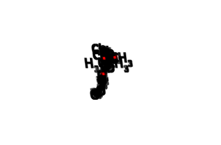 COC(=O)C1=C(C)N(C(=O)OCCCOc2ccc(CCOC3CCOCC3)cc2)C(C)=CC1c1cccc(Cl)c1Cl